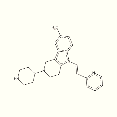 Cc1ccc2c(c1)c1c(n2C=Cc2ccccn2)CCN(C2CCNCC2)C1